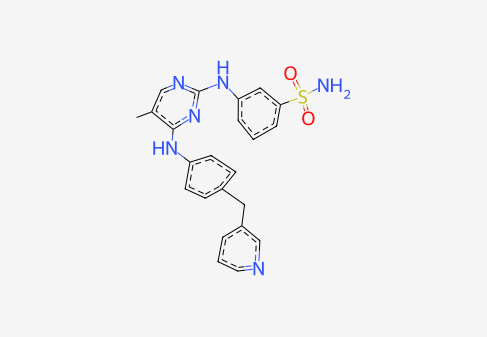 Cc1cnc(Nc2cccc(S(N)(=O)=O)c2)nc1Nc1ccc(Cc2cccnc2)cc1